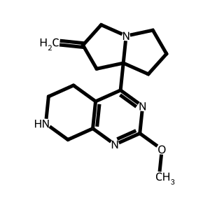 C=C1CN2CCCC2(c2nc(OC)nc3c2CCNC3)C1